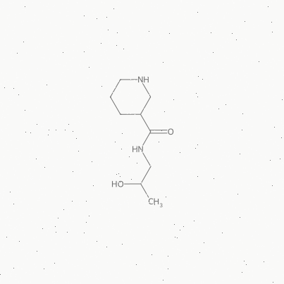 CC(O)CNC(=O)C1CCCNC1